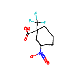 O=C(O)C1(C(F)(F)F)CCCC([N+](=O)[O-])C1